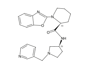 O=C(N[C@H]1CCN(Cc2cccnc2)C1)[C@@H]1CCCCN1c1nc2ccccc2o1